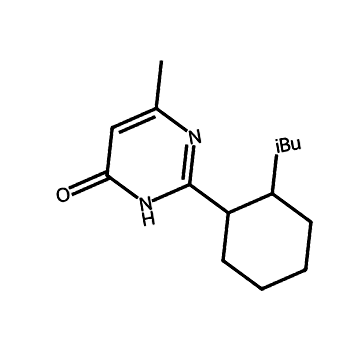 CCC(C)C1CCCCC1c1nc(C)cc(=O)[nH]1